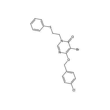 O=c1c(Br)c(OCc2ccc(Cl)cc2)ncn1CCSc1ccccc1